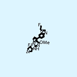 COc1nc(N[C@@H]2CN(C)CC2(F)F)nn2ccc(-c3ccc4ncn(CCF)c4c3)c12